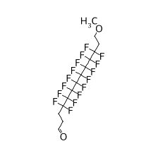 COCCC(F)(F)C(F)(F)C(F)(F)C(F)(F)C(F)(F)C(F)(F)C(F)(F)C(F)(F)CCC=O